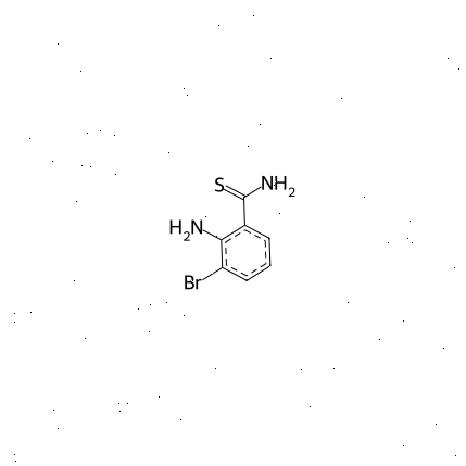 NC(=S)c1cccc(Br)c1N